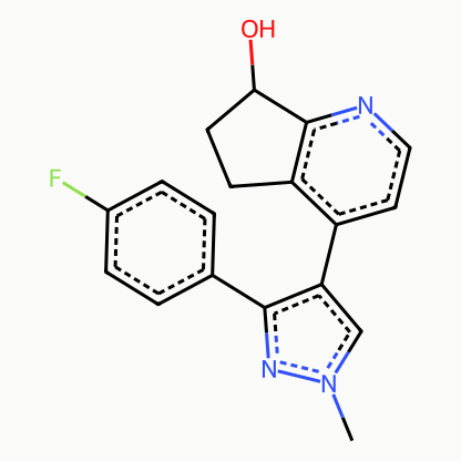 Cn1cc(-c2ccnc3c2CCC3O)c(-c2ccc(F)cc2)n1